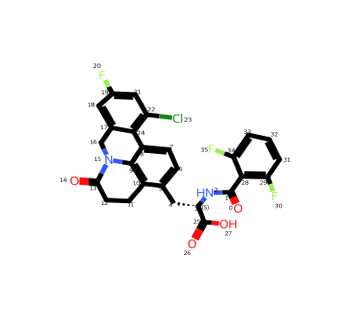 O=C(N[C@@H](Cc1ccc2c3c1CCC(=O)N3Cc1cc(F)cc(Cl)c1-2)C(=O)O)c1c(F)cccc1F